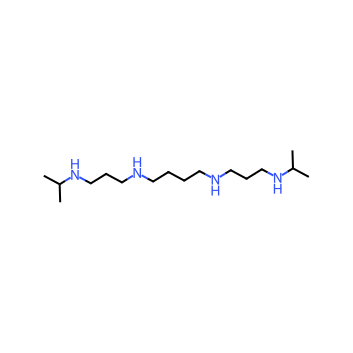 CC(C)NCCCNCCCCNCCCNC(C)C